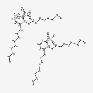 CCCCCCCCCc1cccc(S(=O)(=O)[O-])c1CCCCCCCCC.CCCCCCCCCc1cccc(S(=O)(=O)[O-])c1CCCCCCCCC.[Ca+2]